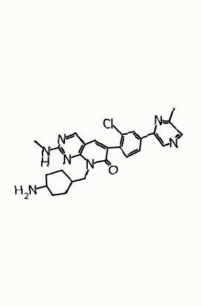 CNc1ncc2cc(-c3ccc(-c4cncc(C)n4)cc3Cl)c(=O)n(CC3CCC(N)CC3)c2n1